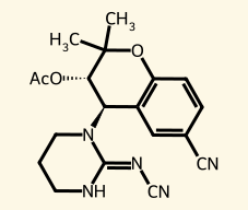 CC(=O)O[C@H]1[C@H](N2CCCNC2=NC#N)c2cc(C#N)ccc2OC1(C)C